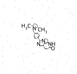 CC1CCC(C)N1Cc1ccc(C2=NC=C3C=CC(=O)NC4=C3N2CC4)cc1